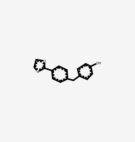 Oc1ccc(Cc2ccc(-c3ncco3)cc2)cc1